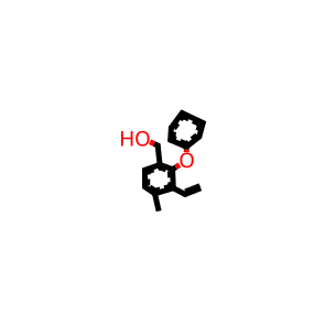 C=Cc1c(C)ccc(CO)c1Oc1ccccc1